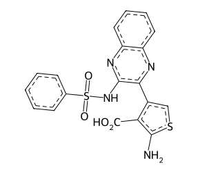 Nc1scc(-c2nc3ccccc3nc2NS(=O)(=O)c2ccccc2)c1C(=O)O